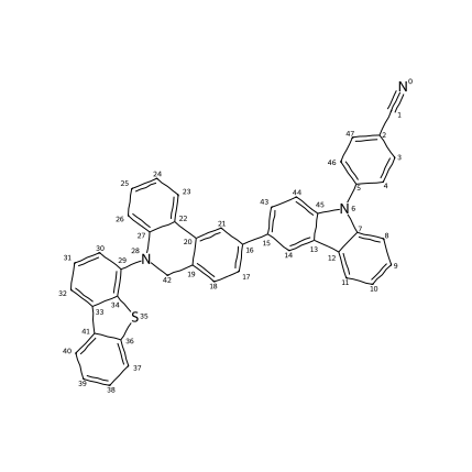 N#Cc1ccc(-n2c3ccccc3c3cc(-c4ccc5c(c4)-c4ccccc4N(c4cccc6c4sc4ccccc46)C5)ccc32)cc1